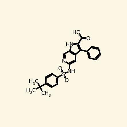 CC(C)(C)c1ccc(S(=O)(=O)Nc2cc3c(-c4ccccc4)c(C(=O)O)[nH]c3cn2)cc1